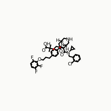 CC(C)(CCC(=O)N1[C@H]2CNC[C@@H]1C(C(=O)N(Cc1ccccc1Cl)C1CC1)=C(c1ccc(CCCOc3c(F)ccc(F)c3F)cc1)C2)C(=O)O